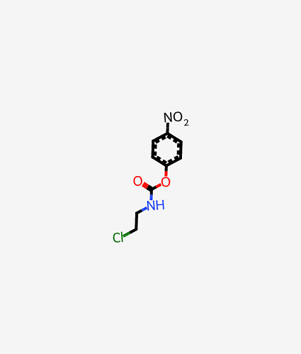 O=C(NCCCl)Oc1ccc([N+](=O)[O-])cc1